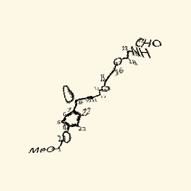 COCCOc1ccc(C(=O)C#CCCOCCOCCNC=O)cc1